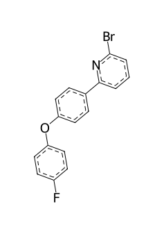 Fc1ccc(Oc2ccc(-c3cccc(Br)n3)cc2)cc1